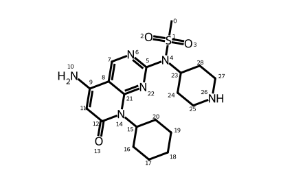 CS(=O)(=O)N(c1ncc2c(N)cc(=O)n(C3CCCCC3)c2n1)C1CCNCC1